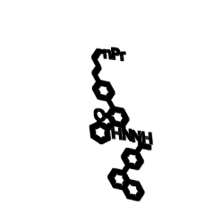 C=C(NNc1ccc(-c2ccc(C=C/C=C\CCC)cc2)c2oc3ccccc3c12)c1ccc(-c2cccc3ccccc23)cc1